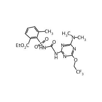 CCOC(=O)c1cccc(C)c1S(=O)(=O)NC(=O)Nc1nc(OCC(F)(F)F)nc(N(C)C)n1